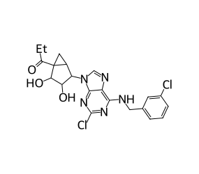 CCC(=O)C12CC1C(n1cnc3c(NCc4cccc(Cl)c4)nc(Cl)nc31)C(O)C2O